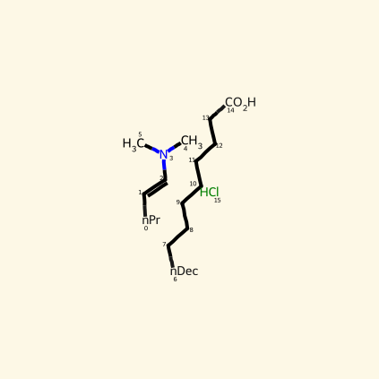 CCCC=CN(C)C.CCCCCCCCCCCCCCCCCC(=O)O.Cl